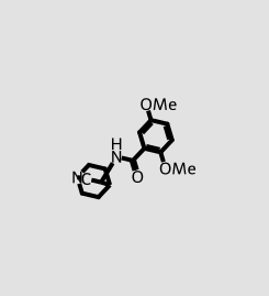 COc1ccc(OC)c(C(=O)NC2CN3CCC2CC3)c1